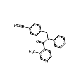 C#Cc1ccc(CN(C(=O)c2ccncc2C)c2ccccc2)cc1